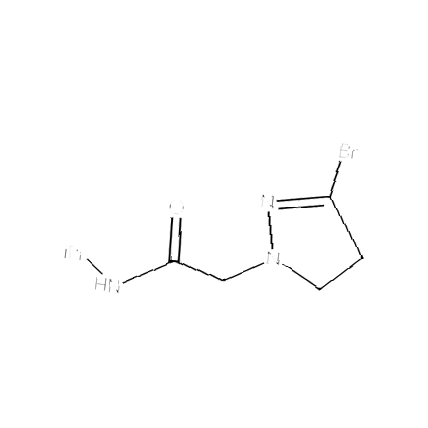 CC(C)NC(=O)CN1CCC(Br)=N1